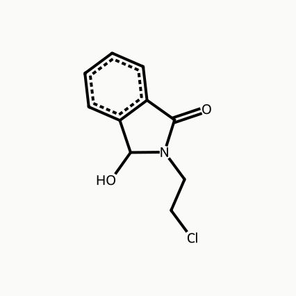 O=C1c2ccccc2C(O)N1CCCl